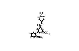 CCN1CCC(CNc2nc(-c3ccccc3[N+](=O)[O-])nc(C(Cl)(Cl)Cl)n2)CC1